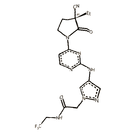 CC[C@]1(C#N)CCN(c2ccnc(Nc3cnn(CC(=O)NCC(F)(F)F)c3)n2)C1=O